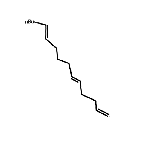 [CH]=CCCC=CCCCC=CCCCC